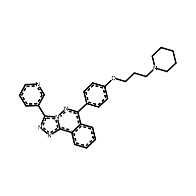 c1cncc(-c2nnc3c4ccccc4c(-c4ccc(OCCCN5CCCCC5)cc4)nn23)c1